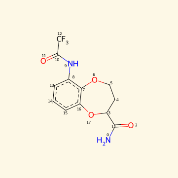 NC(=O)C1CCOc2c(NC(=O)C(F)(F)F)c[c]cc2O1